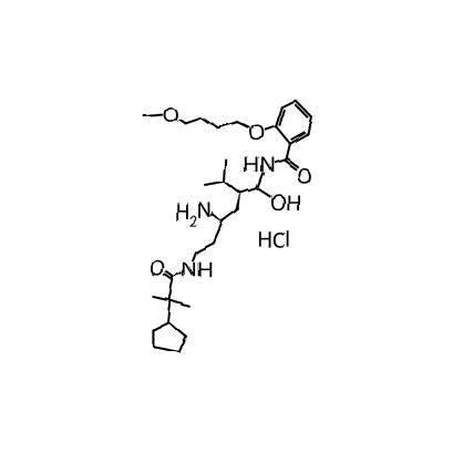 COCCCCOc1ccccc1C(=O)NC(O)[C@@H](C[C@H](N)CCNC(=O)C(C)(C)C1CCCC1)C(C)C.Cl